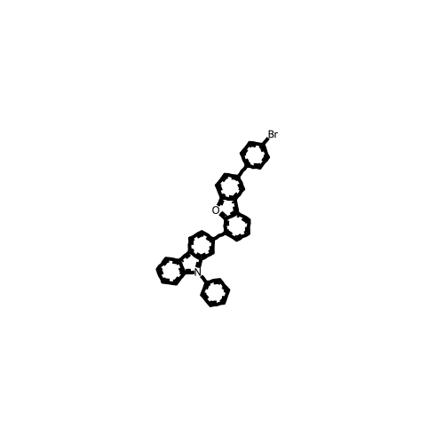 Brc1ccc(-c2ccc3oc4c(-c5ccc6c7ccccc7n(-c7ccccc7)c6c5)cccc4c3c2)cc1